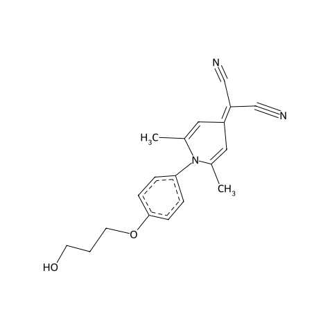 CC1=CC(=C(C#N)C#N)C=C(C)N1c1ccc(OCCCO)cc1